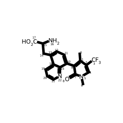 Cc1c(C(F)(F)F)cn(C)c(=O)c1-c1ccc(CC(N)C(=O)O)c2cccnc12